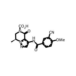 COc1ccc(C(=O)Nc2cnn3c2C(=O)N(C(=O)O)C[C@@H]3C)cc1C#N